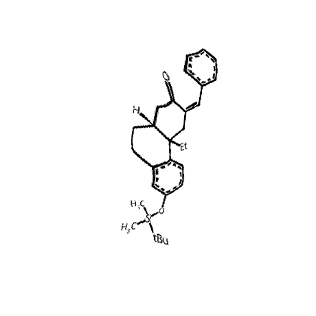 CCC12C/C(=C/c3ccccc3)C(=O)C[C@H]1CCc1cc(O[Si](C)(C)C(C)(C)C)ccc12